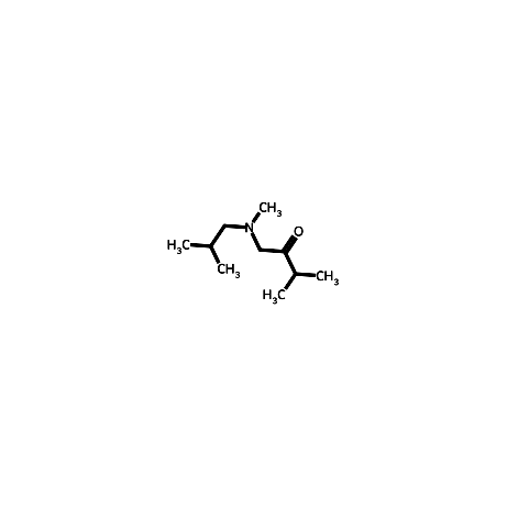 CC(C)CN(C)CC(=O)C(C)C